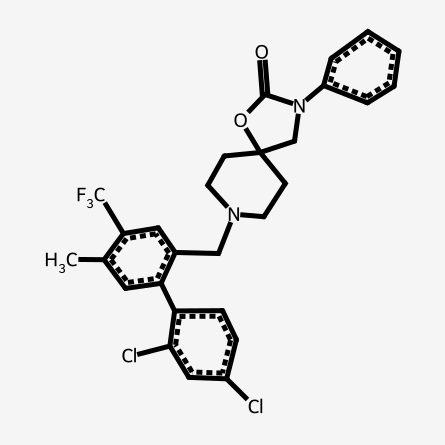 Cc1cc(-c2ccc(Cl)cc2Cl)c(CN2CCC3(CC2)CN(c2ccccc2)C(=O)O3)cc1C(F)(F)F